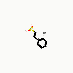 O=S(O)/C=C/c1ccccc1.[Na]